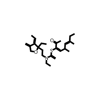 C=C1COC(CC)(CCN(CC)C(=C)S/C(=C/C(C)/C=C(\C)CC)C(C)=O)/C1=C/C